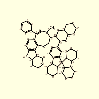 CC1/N=C(/c2ccccc2)c2ccc3c(c2CCC1C1CC2CCCCC2CC1c1ccc2c(c1)C1(C4CCCCC24)C2CCCCC2C2CCCCC21)C1CCCCC1O3